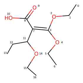 CCOC(OCC)=C(C(=O)O)C(CC)OCC